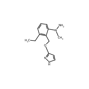 CCc1cccc(N(C)N)c1COc1cc[nH]n1